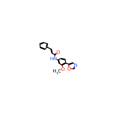 COc1cc(NC(=O)C=Cc2ccccc2)ccc1-c1cnco1